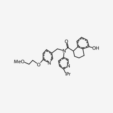 COCCOc1ccc(CN(C(=O)C2CCCc3c(O)cccc32)c2ccc(C(C)C)nc2)cn1